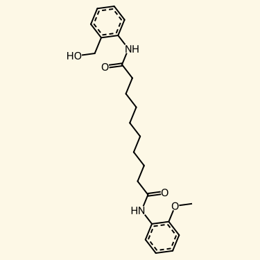 COc1ccccc1NC(=O)CCCCCCCCC(=O)Nc1ccccc1CO